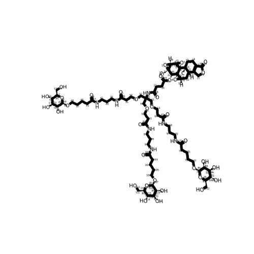 CC(C)[C@]12O[C@H]1[C@@H]1O[C@]13[C@]1(O[C@H]1C[C@H]1C4=C(CC[C@@]13C)C(=O)OC4)[C@@H]2OC(=O)CCC(=O)NC(COCCC(=O)NCCCNC(=O)CCCCO[C@@H]1O[C@H](CO)[C@@H](O)[C@H](O)[C@H]1O)(COCCC(=O)NCCCNC(=O)CCCCO[C@@H]1O[C@H](CO)[C@@H](O)[C@H](O)[C@H]1O)COCCC(=O)NCCCNC(=O)CCCCO[C@@H]1O[C@H](CO)[C@@H](O)[C@H](O)[C@H]1O